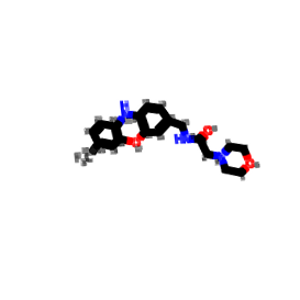 O=C(CN1CCOCC1)NCc1ccc2c(c1)Oc1cc(C(F)(F)F)ccc1N2